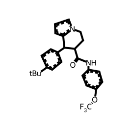 CC(C)(C)c1ccc(C2c3cccn3CCC2C(=O)Nc2ccc(OC(F)(F)F)cc2)cc1